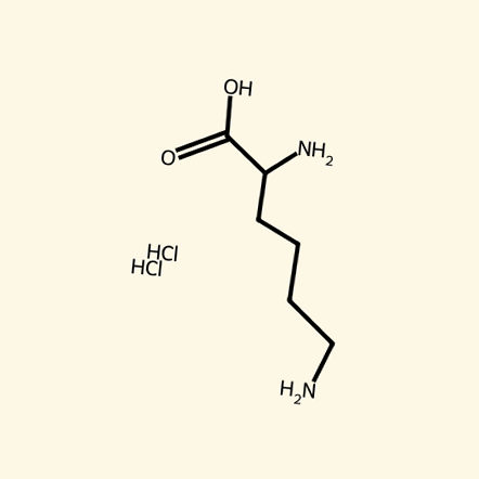 Cl.Cl.NCCCCC(N)C(=O)O